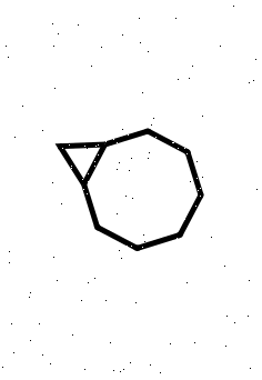 C1CCCC2CC2CC1